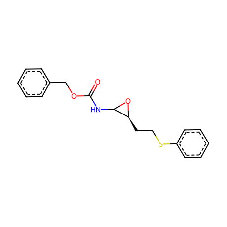 O=C(NC1O[C@H]1CCSc1ccccc1)OCc1ccccc1